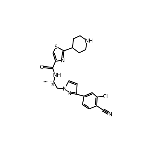 C[C@@H](Cn1ccc(-c2ccc(C#N)c(Cl)c2)n1)NC(=O)c1csc(C2CCNCC2)n1